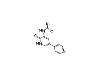 CCC(=O)Nc1cc(-c2ccncc2)c[nH]c1=O